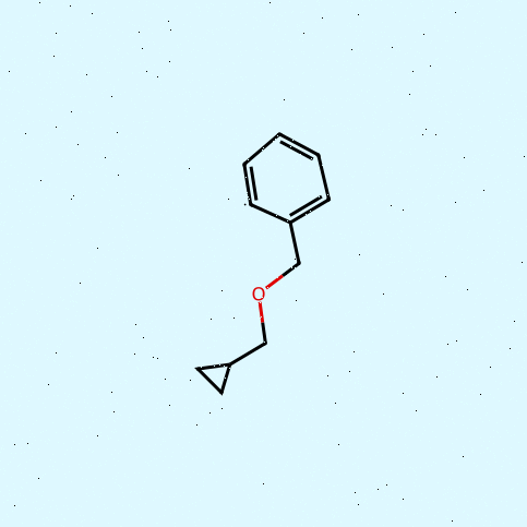 [c]1ccccc1COCC1CC1